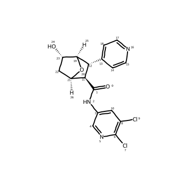 O=C(Nc1cnc(Cl)c(Cl)c1)[C@@H]1[C@@H](c2ccncc2)[C@H]2O[C@@H]1C[C@@H]2O